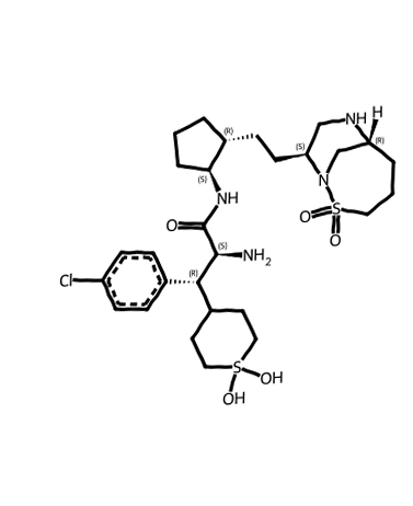 N[C@H](C(=O)N[C@H]1CCC[C@@H]1CC[C@H]1CN[C@@H]2CCCS(=O)(=O)N1C2)[C@@H](c1ccc(Cl)cc1)C1CCS(O)(O)CC1